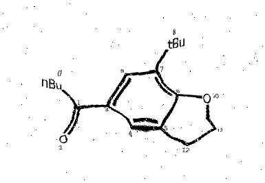 CCCCC(=O)c1cc2c(c(C(C)(C)C)c1)OCC2